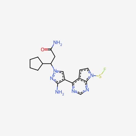 NC(=O)CC(C1CCCC1)n1cc(-c2ncnc3c2ccn3SF)c(N)n1